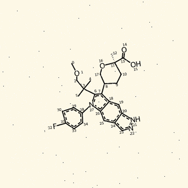 COCC(C)(C)c1c(C2CC[C@](C)(C(=O)O)OC2)c2cc3[nH]ncc3cc2n1-c1ccc(F)cc1